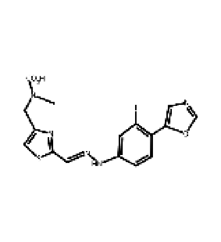 CN(Cc1csc(C=NNc2ccc(-c3cnco3)c(I)c2)n1)C(=O)O